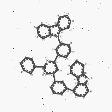 c1ccc(-c2nc(-c3cccc(-c4cccc5sc6ccccc6c45)c3)cc(-c3cccc(-n4c5ccccc5c5ccccc54)c3)n2)cc1